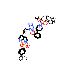 Cc1ccc(S(=O)(=O)n2ccc3c(-c4ccc(NC(=O)C5(c6ccccc6)CCN(C(=O)OC(C)(C)C)CC5)s4)ccnc32)cc1